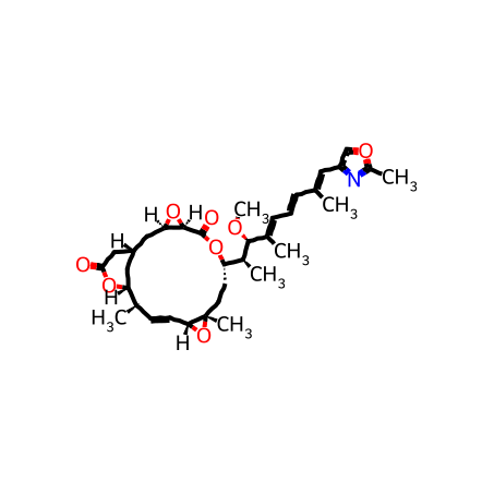 CO[C@@H](/C(C)=C/C=C/C(C)=C/c1coc(C)n1)[C@@H](C)[C@@H]1CC[C@]2(C)O[C@@H]2/C=C/[C@@H](C)[C@H]2C[C@H](CC(=O)O2)C[C@H]2O[C@H]2C(=O)O1